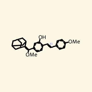 COC(=C1C2CC3CC(C2)CC1C3)c1ccc(/C=C/c2ccc(OC)cc2)c(O)c1